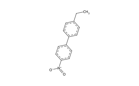 CCc1ccc(-c2ccc([N+](=O)[O-])cc2)cc1